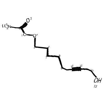 NC(=O)OOCCCCCC#CCO